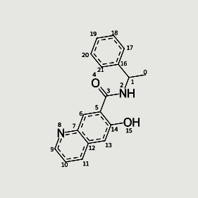 CC(NC(=O)c1cc2ncccc2cc1O)c1ccccc1